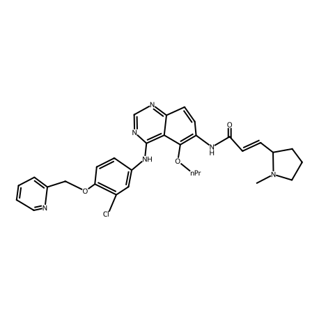 CCCOc1c(NC(=O)C=CC2CCCN2C)ccc2ncnc(Nc3ccc(OCc4ccccn4)c(Cl)c3)c12